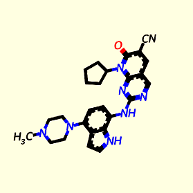 CN1CCN(c2ccc(Nc3ncc4cc(C#N)c(=O)n(C5CCCC5)c4n3)c3[nH]ccc23)CC1